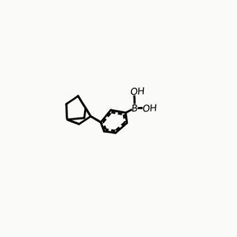 OB(O)c1cccc(C2CC3CCC2C3)c1